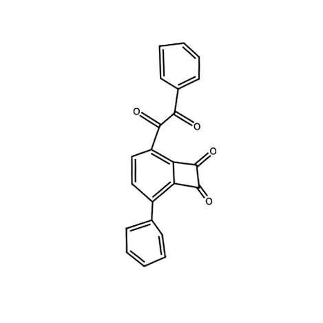 O=C(C(=O)c1ccc(-c2ccccc2)c2c(=O)c(=O)c12)c1ccccc1